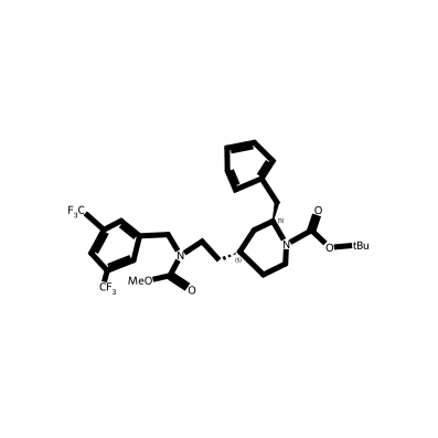 COC(=O)N(CC[C@H]1CCN(C(=O)OC(C)(C)C)[C@H](Cc2ccccc2)C1)Cc1cc(C(F)(F)F)cc(C(F)(F)F)c1